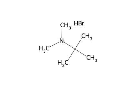 Br.CN(C)C(C)(C)C